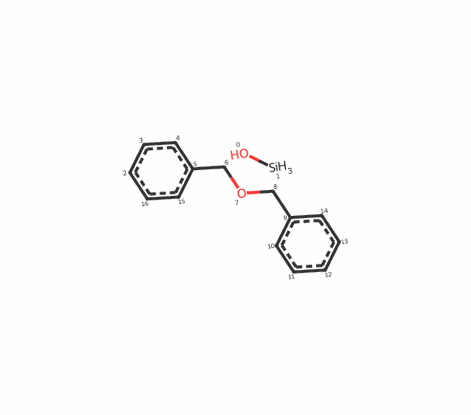 O[SiH3].c1ccc(COCc2ccccc2)cc1